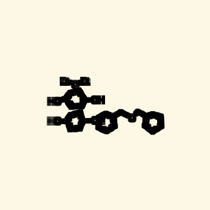 CCOCC.Oc1ccc(O)cc1.Oc1ccc(O)cc1.c1ccc(COCc2ccccc2)cc1